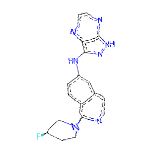 F[C@@H]1CCN(c2nccc3cc(Nc4n[nH]c5nccnc45)ccc23)C1